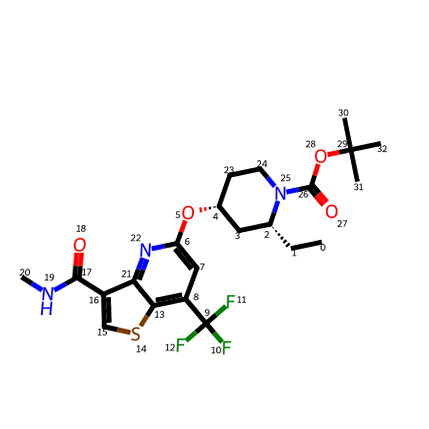 CC[C@@H]1C[C@H](Oc2cc(C(F)(F)F)c3scc(C(=O)NC)c3n2)CCN1C(=O)OC(C)(C)C